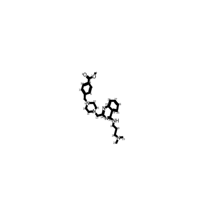 COC(=O)c1ccc(CN2CCN(Cc3nc(NCCCN(C)C)c4ccccc4n3)CC2)cc1